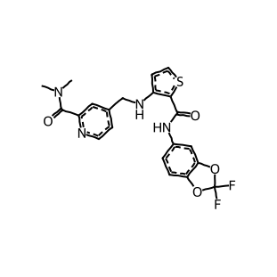 CN(C)C(=O)c1cc(CNc2ccsc2C(=O)Nc2ccc3c(c2)OC(F)(F)O3)ccn1